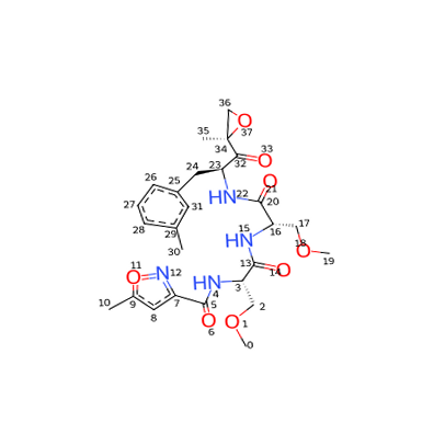 COC[C@H](NC(=O)c1cc(C)on1)C(=O)N[C@@H](COC)C(=O)N[C@@H](Cc1cccc(C)c1)C(=O)[C@@]1(C)CO1